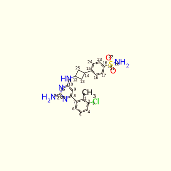 Cc1c(Cl)cccc1-c1cc(NC2CC(c3ccc(S(N)(=O)=O)cc3)C2)nc(N)n1